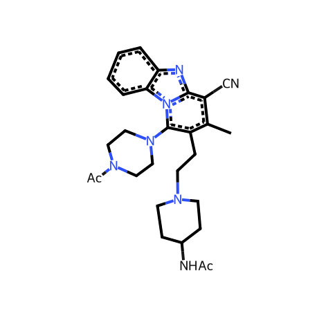 CC(=O)NC1CCN(CCc2c(C)c(C#N)c3nc4ccccc4n3c2N2CCN(C(C)=O)CC2)CC1